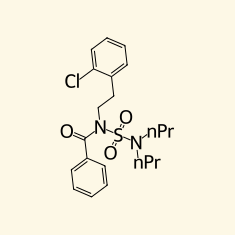 CCCN(CCC)S(=O)(=O)N(CCc1ccccc1Cl)C(=O)c1ccccc1